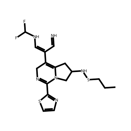 CCCSNC1CC2=C(/C(C=N)=C/NC(F)F)CN=C(c3nccs3)N2C1